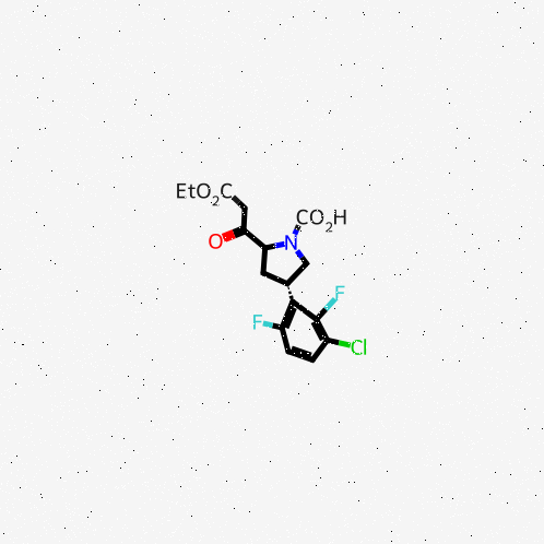 CCOC(=O)CC(=O)C1C[C@@H](c2c(F)ccc(Cl)c2F)CN1C(=O)O